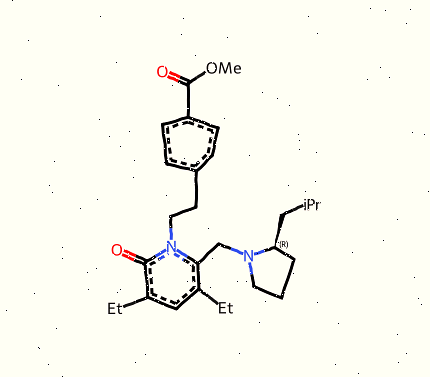 CCc1cc(CC)c(=O)n(CCc2ccc(C(=O)OC)cc2)c1CN1CCC[C@@H]1CC(C)C